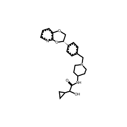 O=C(NC1CCN(Cc2ccc([C@H]3COc4cccnc4O3)cc2)CC1)C(O)C1CC1